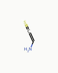 NC=C=S